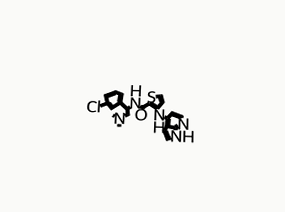 CN(C)CC(NC(=O)c1sccc1Nc1ccnc2[nH]ccc12)c1cccc(Cl)c1